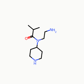 CC(C)C(=O)N(CCN)C1CCNCC1